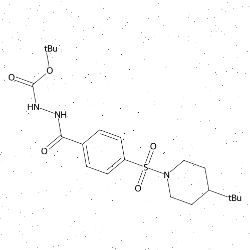 CC(C)(C)OC(=O)NNC(=O)c1ccc(S(=O)(=O)N2CCC(C(C)(C)C)CC2)cc1